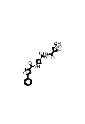 O=C(N[C@H]1C[C@H](C(=O)NNC(=O)C2CS(O)(O)C2)C1)c1cc(-c2ccccc2)on1